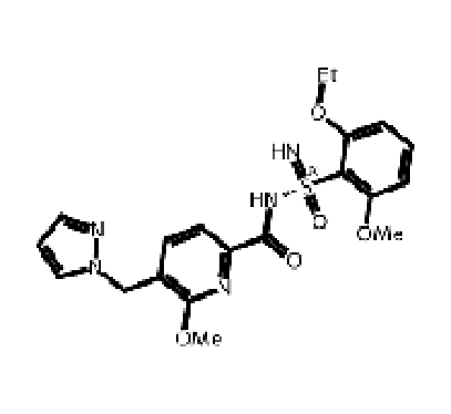 CCOc1cccc(OC)c1[S@](=N)(=O)NC(=O)c1ccc(Cn2cccn2)c(OC)n1